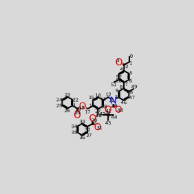 CCC(=O)c1ccc(-c2cc(N(Cc3ccc(COC(=O)c4ccccc4)c(COC(=O)c4ccccc4)c3)C(=O)OC(C)(C)C)ccc2C)c(C)c1